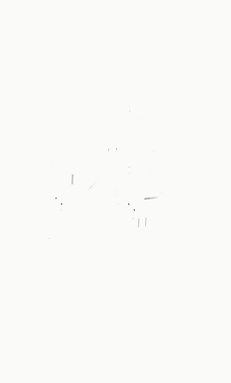 CCSN1CCOc2cc(OCC3CC3)c(-c3cn(C)c(=O)c4ccccc34)cc21